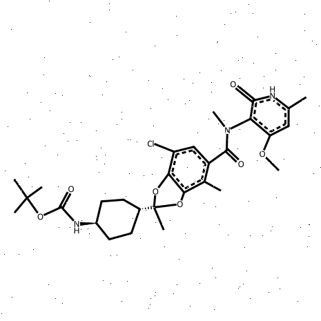 COc1cc(C)[nH]c(=O)c1N(C)C(=O)c1cc(Cl)c2c(c1C)OC(C)([C@H]1CC[C@H](NC(=O)OC(C)(C)C)CC1)O2